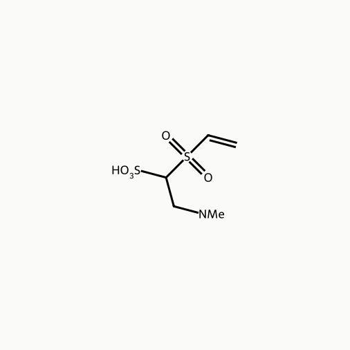 C=CS(=O)(=O)C(CNC)S(=O)(=O)O